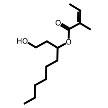 CC=C(C)C(=O)OC(CCO)CCCCCC